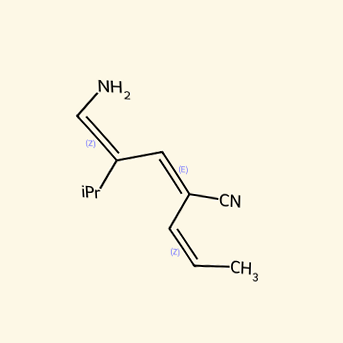 C\C=C/C(C#N)=C\C(=C/N)C(C)C